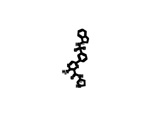 Nc1ncc(-c2cccc(S(=O)(=O)N[C@@H]3CCc4ccccc43)c2)nc1C(=O)N[C@H]1CCNC1